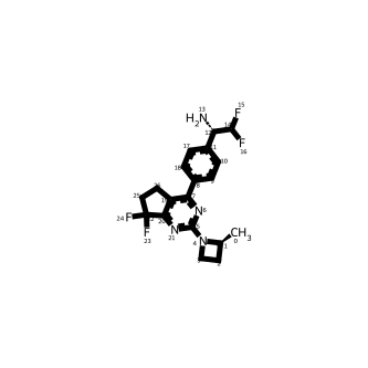 C[C@H]1CCN1c1nc(-c2ccc([C@H](N)C(F)F)cc2)c2c(n1)C(F)(F)CC2